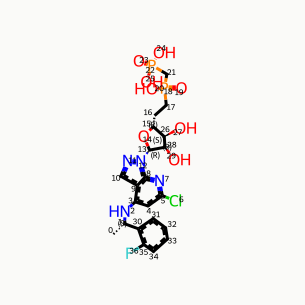 C[C@H](Nc1cc(Cl)nc2c1cnn2[C@@H]1O[C@H](CCP(=O)(O)CP(=O)(O)O)[C@@H](O)[C@H]1O)c1ccccc1F